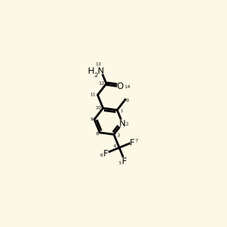 Cc1nc(C(F)(F)F)ccc1CC(N)=O